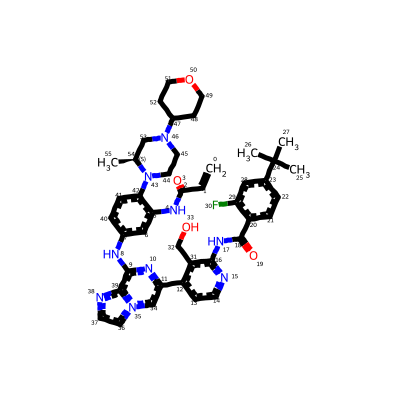 C=CC(=O)Nc1cc(Nc2nc(-c3ccnc(NC(=O)c4ccc(C(C)(C)C)cc4F)c3CO)cn3ccnc23)ccc1N1CCN(C2CCOCC2)C[C@@H]1C